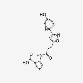 O=C(CCc1nc(-c2ccc(O)cn2)no1)Nc1ccsc1C(=O)O